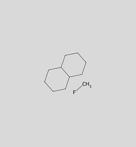 C1CCC2CCCCC2C1.CF